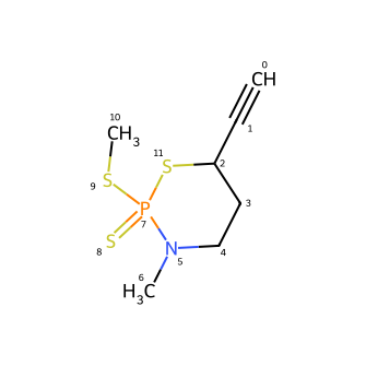 C#CC1CCN(C)P(=S)(SC)S1